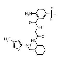 Cc1csc(NCC2CCCCC2NC(=O)CNC(=O)c2cc(C(F)(F)F)ccc2N)c1